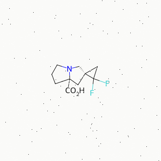 O=C(O)C12CCCN1C[C@]1(C2)CC1(F)F